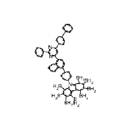 Bc1c(B)c(B)c2c(c1B)c1c(B)c(B)c(B)c(B)c1n2-c1ccc(-c2ccc(-c3cc(-c4ccc(-c5ccccc5)cc4)nc(-c4ccccc4)n3)c3ccccc23)cc1